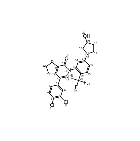 O=c1c2c(c(-c3ccc(Cl)c(Cl)c3)nn1-c1cc(N3CCC(O)C3)ccc1C(F)(F)F)CCC2